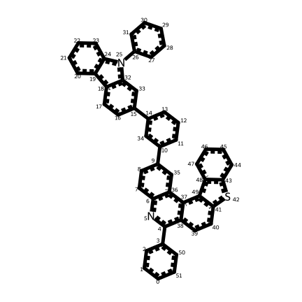 c1ccc(-c2nc3ccc(-c4cccc(-c5ccc6c7ccccc7n(-c7ccccc7)c6c5)c4)cc3c3c2ccc2sc4ccccc4c23)cc1